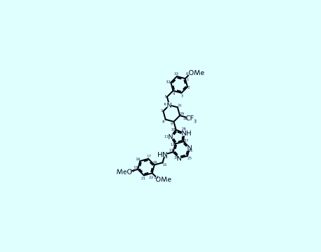 COc1ccc(CN2CCC(c3nc4c(NCc5ccc(OC)cc5OC)ncnc4[nH]3)C(C(F)(F)F)C2)cc1